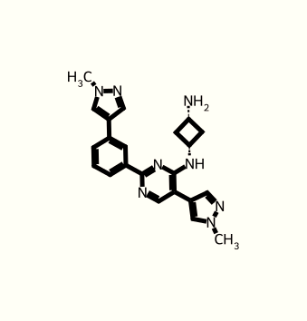 Cn1cc(-c2cccc(-c3ncc(-c4cnn(C)c4)c(N[C@H]4C[C@@H](N)C4)n3)c2)cn1